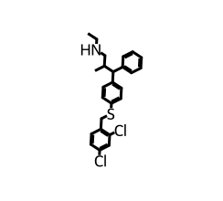 CCNCC(C)C(c1ccccc1)c1ccc(SCc2ccc(Cl)cc2Cl)cc1